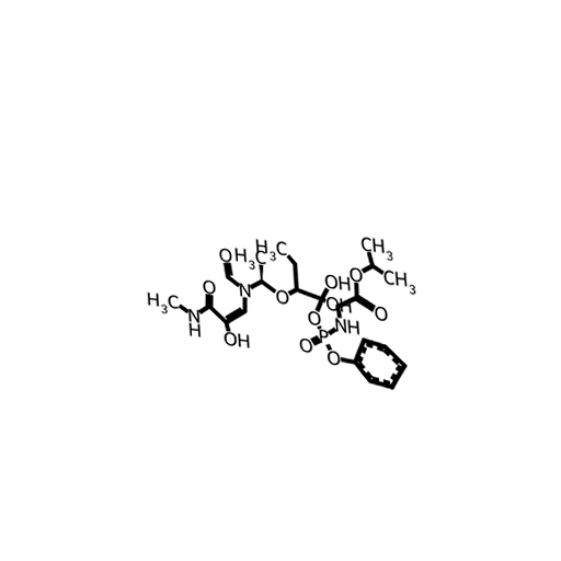 CCC(O[C@H](C)N(C=O)/C=C(/O)C(=O)NC)C(O)(O)OP(=O)(NCC(=O)OC(C)C)Oc1ccccc1